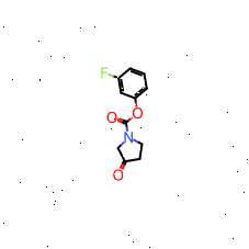 O=C1CCN(C(=O)Oc2cccc(F)c2)C1